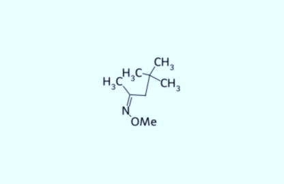 CON=C(C)CC(C)(C)C